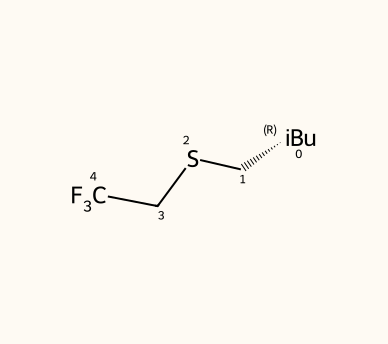 CC[C@@H](C)CSCC(F)(F)F